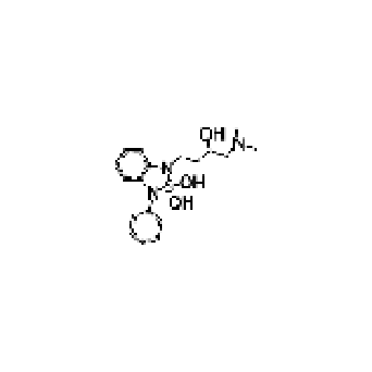 CN(C)CC(O)CCN1c2ccccc2N(c2ccccc2)S1(O)O